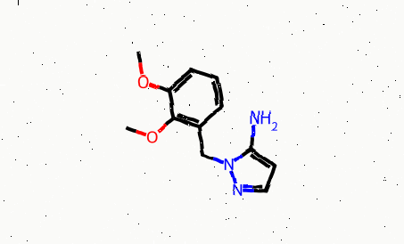 COc1cccc(Cn2nccc2N)c1OC